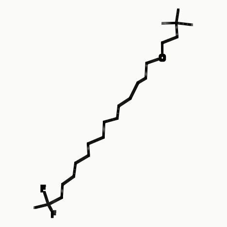 CC(C)(C)CCOCCCCCCCCCCCCCCC(C)(F)F